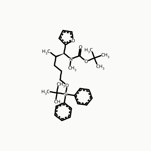 CC(CCCO[Si](c1ccccc1)(c1ccccc1)C(C)(C)C)[C@@H](c1ccco1)N(C)C(=O)OC(C)(C)C